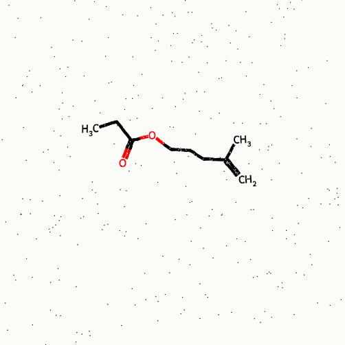 C=C(C)CCCOC(=O)CC